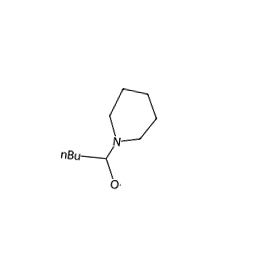 CCCCC([O])N1CCCCC1